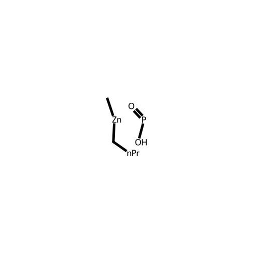 CCC[CH2][Zn][CH3].O=PO